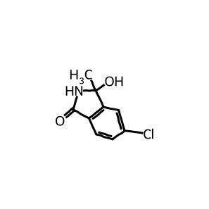 CC1(O)NC(=O)c2ccc(Cl)cc21